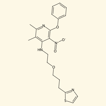 Cc1nc(Oc2ccccc2)c([N+](=O)[O-])c(NCCOCCCc2nccs2)c1C